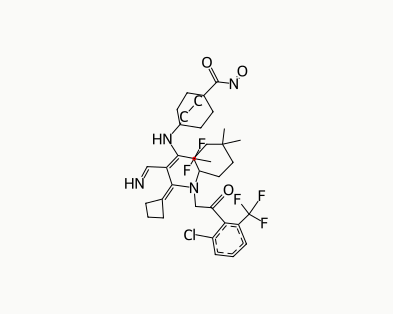 CC1(C)CCC(N(CC(=O)c2c(Cl)cccc2C(F)(F)F)C(=C2CCC2)/C(C=N)=C(/NC23CCC(C(=O)N=O)(CC2)CC3)C(C)(F)F)CC1